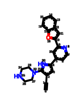 C#Cc1cc(-c2ccnc(-c3cc4ccccc4o3)c2)[nH]c1N1CCNCC1